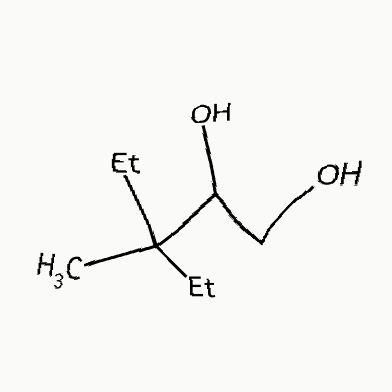 CCC(C)(CC)C(O)CO